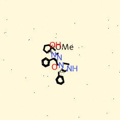 COC[C@]1(O)CCCC[C@H]1n1cnc(C(=O)N2CCNC[C@@H]2Cc2ccccc2)c1-c1ccccc1